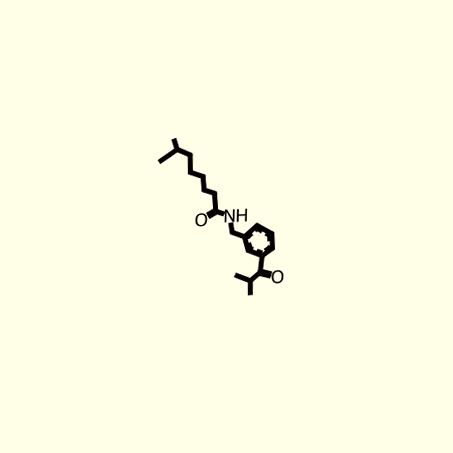 CC(C)CCCCCC(=O)NCc1cccc(C(=O)C(C)C)c1